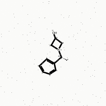 C[C@H](c1ccccc1)N1CC(O)C1